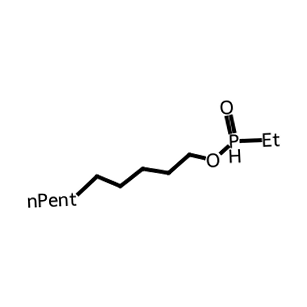 CCCCCCCCCCO[PH](=O)CC